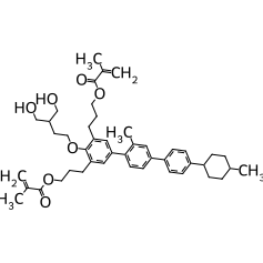 C=C(C)C(=O)OCCCc1cc(-c2ccc(-c3ccc(C4CCC(C)CC4)cc3)cc2C)cc(CCCOC(=O)C(=C)C)c1OCCC(CO)CO